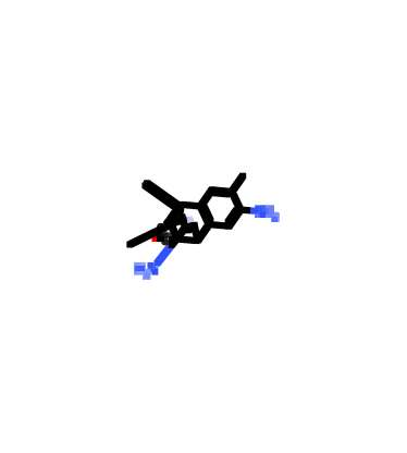 C=C1/C=C(C)\C(N)=C/C2c3cc(N)c(C)cc3C1C1CCCCC21